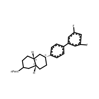 CCCCCC1CC[C@@H]2C[C@H](c3ccc(-c4cc(F)cc(F)c4)cc3)CC[C@@H]2C1